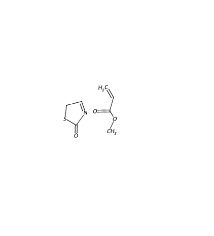 C=CC(=O)OC.O=C1N=CCS1